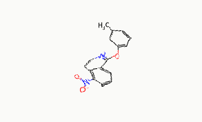 Cc1cccc(Oc2nccc3c([N+](=O)[O-])cccc23)c1